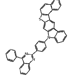 c1ccc(-c2nc(-c3ccc(-n4c5ccccc5c5cc6c(cc54)sc4ccc5ccccc5c46)cc3)nc3ccccc23)cc1